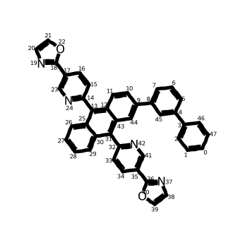 c1ccc(-c2cccc(-c3ccc4c(-c5ccc(-c6ncco6)cn5)c5ccccc5c(-c5ccc(-c6ncco6)cn5)c4c3)c2)cc1